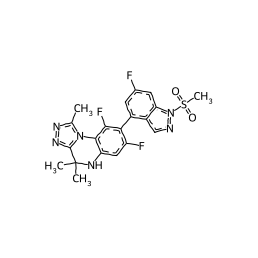 Cc1nnc2n1-c1c(cc(F)c(-c3cc(F)cc4c3cnn4S(C)(=O)=O)c1F)NC2(C)C